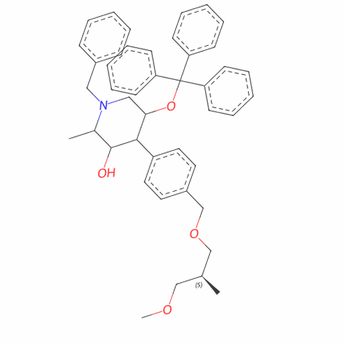 COC[C@H](C)COCc1ccc(C2C(OC(c3ccccc3)(c3ccccc3)c3ccccc3)CN(Cc3ccccc3)C(C)C2O)cc1